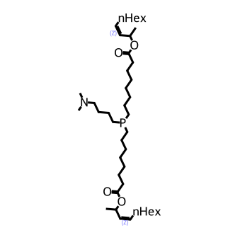 CCCCCC/C=C\C(C)OC(=O)CCCCCCCP(CCCCCCCC(=O)OC(C)/C=C\CCCCCC)CCCCN(C)C